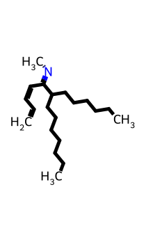 C=C/C=C\C(=N/C)C(CCCCCC)CCCCCCC